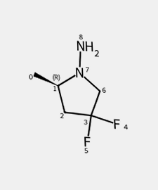 C[C@@H]1CC(F)(F)CN1N